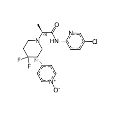 C[C@@H](C(=O)Nc1ccc(Cl)cn1)N1CCC(F)(F)[C@@H](c2cc[n+]([O-])cc2)C1